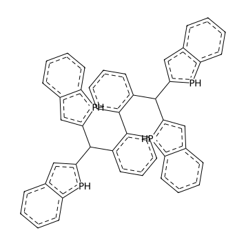 c1ccc(C(c2cc3ccccc3[pH]2)c2cc3ccccc3[pH]2)c(-c2ccccc2C(c2cc3ccccc3[pH]2)c2cc3ccccc3[pH]2)c1